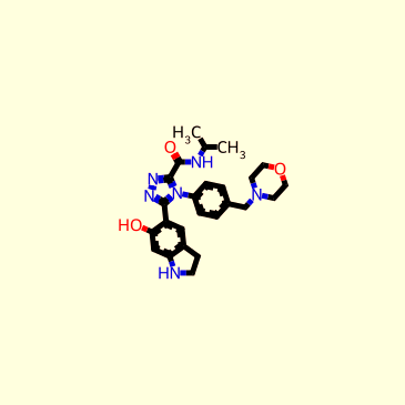 CC(C)NC(=O)c1nnc(-c2cc3c(cc2O)NCC3)n1-c1ccc(CN2CCOCC2)cc1